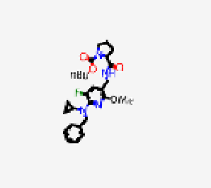 CCCCOC(=O)N1CCCC1C(=O)NCc1cc(F)c(N(Cc2ccccc2)C2CC2)nc1OC